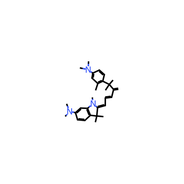 C=C(/C=C/C=C1\N(C)c2cc(N(C)C)ccc2C1(C)C)C(C)(C)c1ccc(N(C)C)cc1C